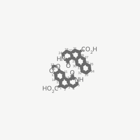 O=C(O)c1cc2cc[nH]c(=O)c2c2cc3c(cc12)OCO3.O=C(O)c1cc2cc[nH]c(=O)c2c2cc3ccccc3cc12